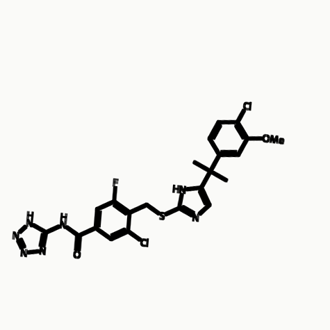 COc1cc(C(C)(C)c2cnc(SCc3c(F)cc(C(=O)Nc4nnn[nH]4)cc3Cl)[nH]2)ccc1Cl